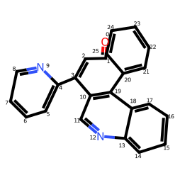 O=C/C=C(/c1ccccn1)c1cnc2ccccc2c1-c1ccccc1